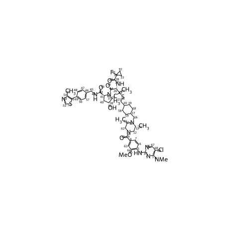 CNc1nc(Nc2ccc(C(=O)N3C[C@@H](C)N(CC4CCC(CSC(C)(C)[C@@H](NC(=O)C5(F)CC5)C(=O)N5C[C@H](O)C[C@H]5C(=O)NCc5ccc(-c6scnc6C)cc5)CC4)[C@@H](C)C3)cc2OC)ncc1Cl